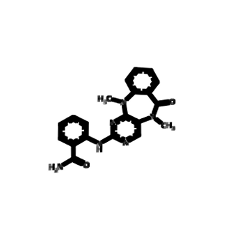 CN1C(=O)c2ccccc2N(C)c2nc(Nc3ccccc3C(N)=O)ncc21